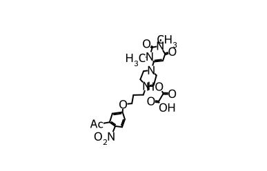 CC(=O)c1cc(OCCCN2CCN(c3cc(=O)n(C)c(=O)n3C)CC2)ccc1[N+](=O)[O-].O=C(O)C(=O)O